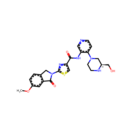 COc1ccc2c(c1)C(=O)N(c1nc(C(=O)Nc3cnccc3N3CCN[C@H](CO)C3)cs1)C2